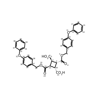 O=C(O)[C@H]1[C@H](C(=O)OCc2ccc(Oc3ccccc3)cc2)[C@H](C(=O)O)[C@H]1C(=O)OCc1ccc(Oc2ccccc2)cc1